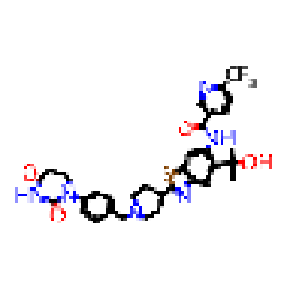 CC(C)(O)c1cc2nc(C3CCN(Cc4ccc(N5CCC(=O)NC5=O)cc4)CC3)sc2cc1NC(=O)c1ccc(C(F)(F)F)nc1